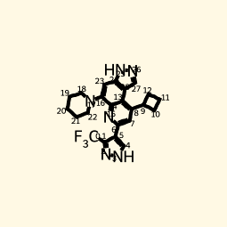 FC(F)(F)c1n[nH]cc1-c1cc(C2CCC2)c2c(n1)c(N1CCCCC1)cc1[nH]ncc12